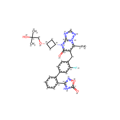 CCCc1c(Cc2ccc(-c3ccccc3-c3noc(=O)[nH]3)cc2F)c(=O)n([C@H]2C[C@@H](OCC(C)(C)O)C2)c2ncnn12.[K]